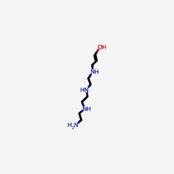 NCCNCCNCCNCC=CO